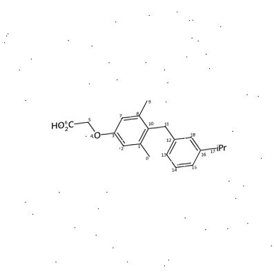 Cc1cc(OCC(=O)O)cc(C)c1Cc1cccc(C(C)C)c1